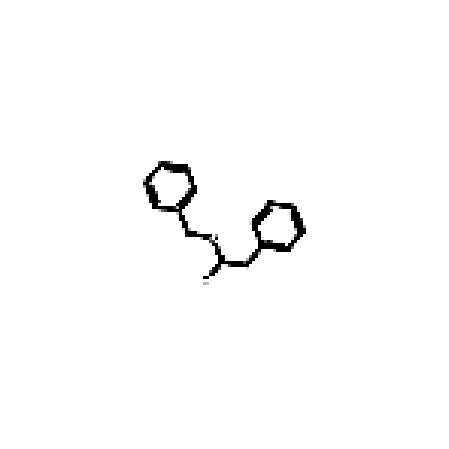 [O]C(Cc1ccccc1)OCc1ccccc1